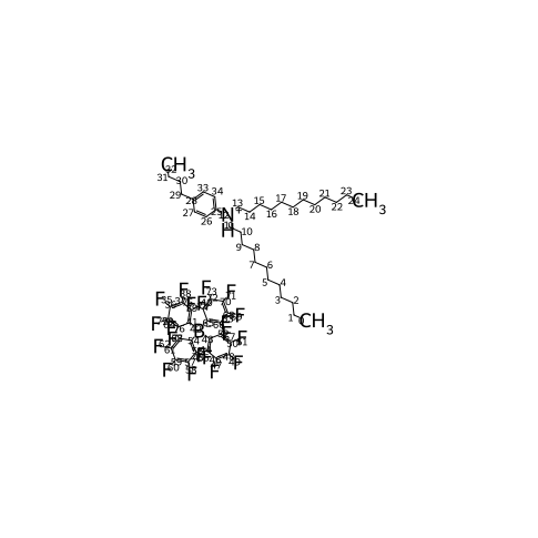 CCCCCCCCCCCC[NH+](CCCCCCCCCCCC)c1ccc(CCCC)cc1.Fc1c(F)c(F)c([B-](c2c(F)c(F)c(F)c(F)c2F)(c2c(F)c(F)c(F)c(F)c2F)c2c(F)c(F)c(F)c(F)c2F)c(F)c1F